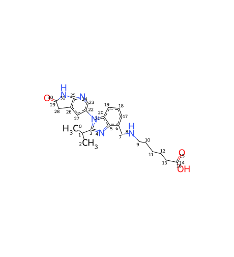 CC(C)c1nc2c(CNCCCCCC(=O)O)cccc2n1-c1cnc2c(c1)CC(=O)N2